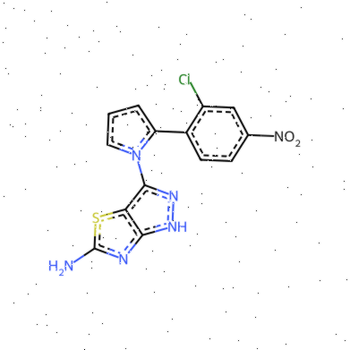 Nc1nc2[nH]nc(-n3cccc3-c3ccc([N+](=O)[O-])cc3Cl)c2s1